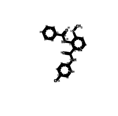 CSc1ccnc(C(=O)Nc2ccc(Cl)cn2)c1NC(=O)c1ccccc1